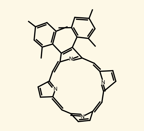 Cc1cc(C)c(C2=C(c3c(C)cc(C)cc3C)C3=NC2=CC2=NC(=CC4=NC(=CC5=NC(=C3)C=C5)C=C4)C=C2)c(C)c1